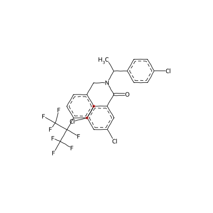 CC(c1ccc(Cl)cc1)N(Cc1ccc(C(F)(C(F)(F)F)C(F)(F)F)cc1)C(=O)c1cc(Cl)cc(Cl)c1